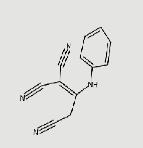 N#CCC(Nc1ccccc1)=C(C#N)C#N